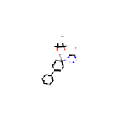 CC1(C)OB(C2(n3ccnn3)C=CC(c3ccccc3)=CC2)OC1(C)C